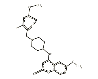 COc1ccc(CN2CCC(Nc3cc(=O)oc4ccc(OC)cc34)CC2)c(F)c1